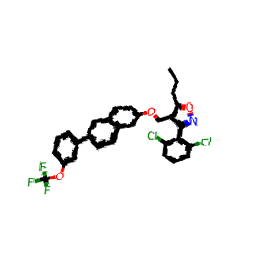 CCCc1onc(-c2c(Cl)cccc2Cl)c1COc1ccc2cc(-c3cccc(OC(F)(F)F)c3)ccc2c1